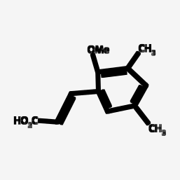 COc1c(C)cc(C)cc1C=CC(=O)O